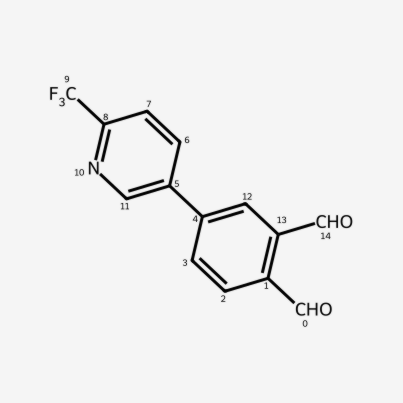 O=Cc1ccc(-c2ccc(C(F)(F)F)nc2)cc1C=O